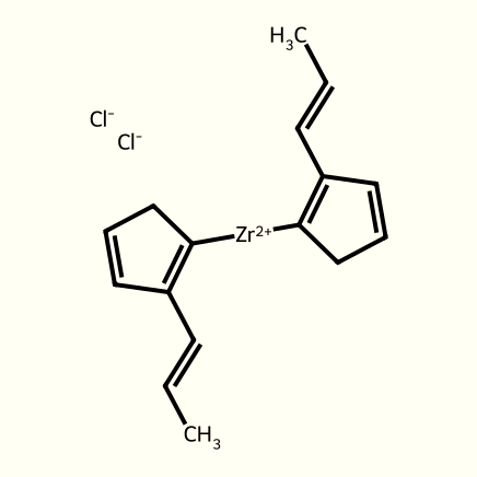 CC=CC1=[C]([Zr+2][C]2=C(C=CC)C=CC2)CC=C1.[Cl-].[Cl-]